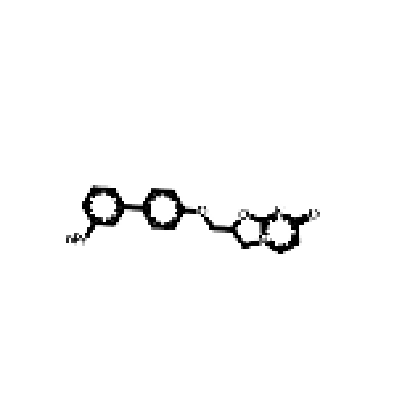 CCCc1cccc(-c2ccc(OCC3Cn4ccc(=O)nc4O3)cc2)c1